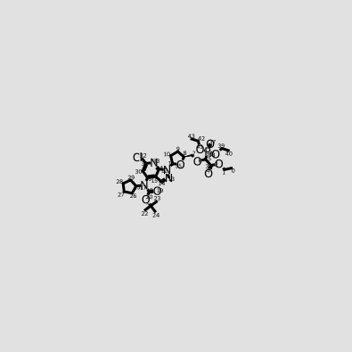 CCOC(=O)C(OC[C@@H]1CCC(n2ncc3c(N(C(=O)OC(C)(C)C)C4CCCC4)cc(Cl)nc32)O1)P(=O)(OCC)OCC